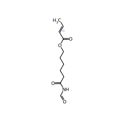 C/C=C/C(=O)OCCCCCC(=O)NC=O